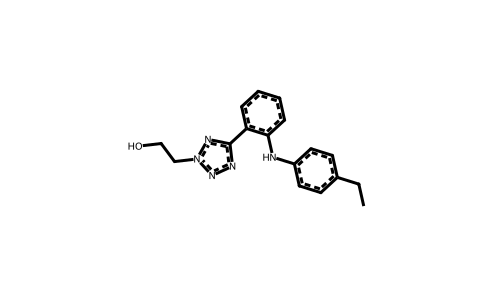 CCc1ccc(Nc2ccccc2-c2nnn(CCO)n2)cc1